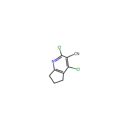 N#Cc1c(Cl)nc2c(c1Cl)CCC2